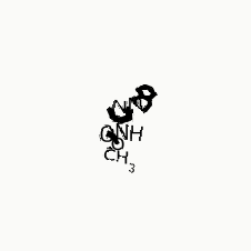 CCOC(=O)Nc1ccnc(N2CCc3ccccc3C2)c1